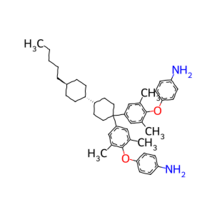 CCCCC[C@H]1CC[C@H](C2CCC(c3cc(C)c(Oc4ccc(N)cc4)c(C)c3)(c3cc(C)c(Oc4ccc(N)cc4)c(C)c3)CC2)CC1